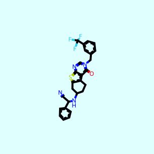 N#CC(NC1CCc2c(sc3ncn(Cc4cccc(C(F)(F)F)c4)c(=O)c23)C1)c1ccccc1